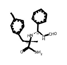 Cc1ccc(C[C@](C)(N[C@@H](NC=O)c2ccccc2)C(N)=O)cc1